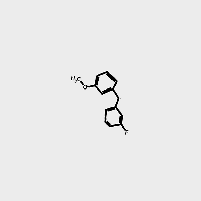 COc1cccc([CH]c2cccc(F)c2)c1